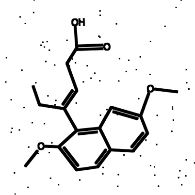 CCC(=CCC(=O)O)c1c(OC)ccc2ccc(OC)cc12